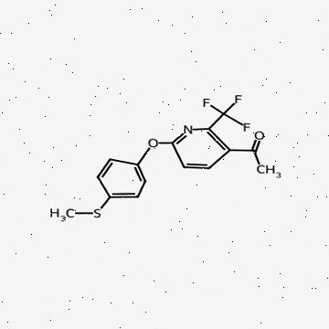 CSc1ccc(Oc2ccc(C(C)=O)c(C(F)(F)F)n2)cc1